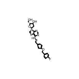 OC[C@H]1O[C@@H](n2cnc3c(N/N=C/c4ccc(OCc5ccc(F)cc5)cc4)ncnc32)CC1O